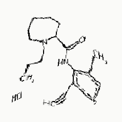 C#Cc1scc(C)c1NC(=O)[C@@H]1CCCCN1CCC.Cl